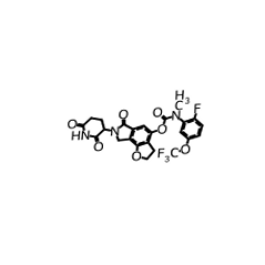 CN(C(=O)Oc1cc2c(c3c1CCO3)CN(C1CCC(=O)NC1=O)C2=O)c1cc(OC(F)(F)F)ccc1F